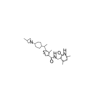 Cc1cc(C)c(CNC(=O)c2csc(C(C)C3CCC(N4CC(C)C4)CC3)c2C)c(=O)[nH]1